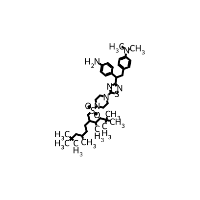 CC(CCC(CS(=O)(=O)N1CCN(c2nc(C(Cc3ccc(N(C)C)cc3)c3ccc(N)cc3)ns2)CC1)C(C)CC(C)(C)C)CC(C)(C)C